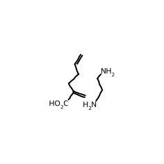 C=CCCC(=C)C(=O)O.NCCN